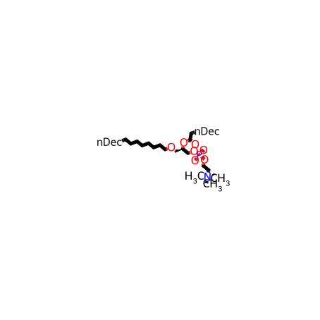 CCCCCCCCCCCCCCCCCCOC[C@H](COP(=O)([O-])OCC[N+](C)(C)C)OC(=O)CCCCCCCCCCC